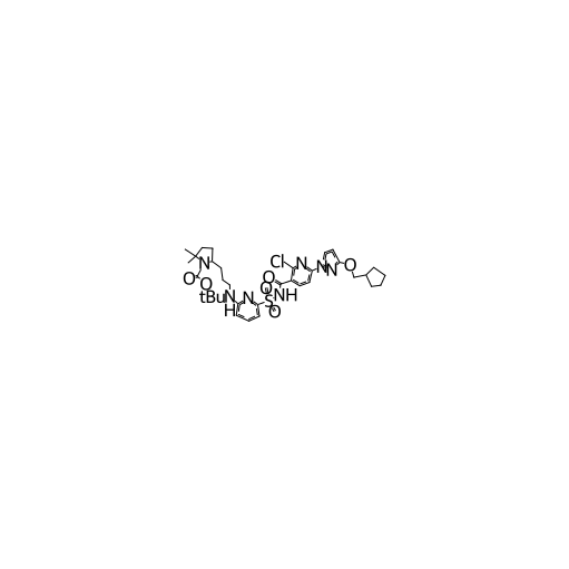 CC(C)(C)OC(=O)N1C(CCCNc2cccc(S(=O)(=O)NC(=O)c3ccc(-n4ccc(OCC5CCCC5)n4)nc3Cl)n2)CCC1(C)C